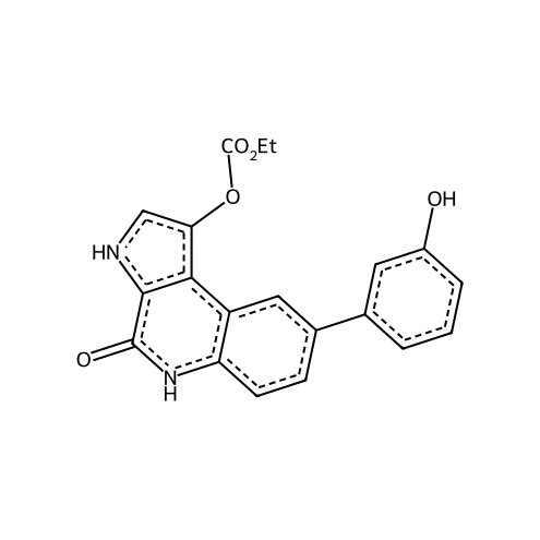 CCOC(=O)Oc1c[nH]c2c(=O)[nH]c3ccc(-c4cccc(O)c4)cc3c12